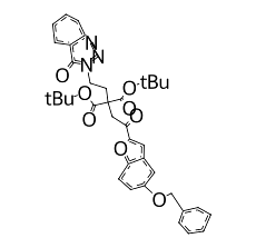 CC(C)(C)OC(=O)C(CCn1nnc2ccccc2c1=O)(CC(=O)c1cc2cc(OCc3ccccc3)ccc2o1)C(=O)OC(C)(C)C